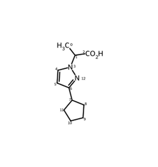 CC(C(=O)O)n1ccc(C2CCCC2)n1